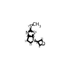 CSc1nc2c(s1)N(C1COC1)CC2